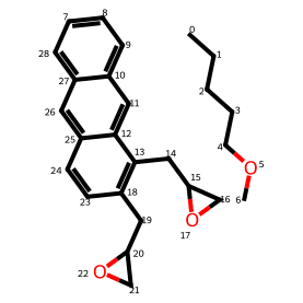 CCCCCOC.c1ccc2cc3c(CC4CO4)c(CC4CO4)ccc3cc2c1